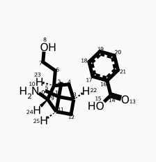 CC1(C)[C@H]2C[C@H](CCO)[C@@H](N)[C@@H]1C2.O=C(O)c1ccccc1